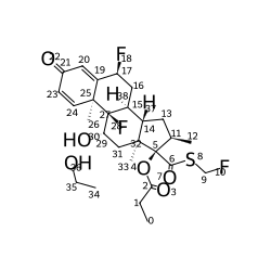 CCC(=O)O[C@]1(C(=O)SCF)[C@H](C)C[C@H]2[C@@H]3C[C@H](F)C4=CC(=O)C=C[C@]4(C)[C@@]3(F)[C@@H](O)C[C@@]21C.CCO